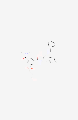 CCCN(CCC)C(=O)c1cc(C(=O)N[C@@H](Cc2cc(F)cc(F)c2)[C@H](O)CNCc2cccc(CC)c2)cc(S(=O)(=O)CCCO)c1